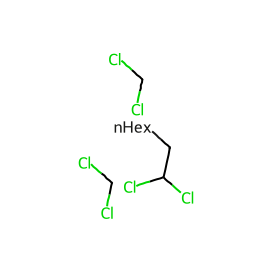 CCCCCCCC(Cl)Cl.ClCCl.ClCCl